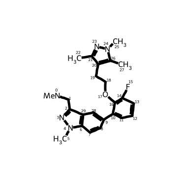 CNCc1nn(C)c2ccc(-c3cccc(F)c3OCCc3c(C)nn(C)c3C)cc12